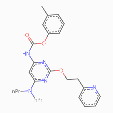 CCCN(CCC)c1cc(NC(=O)Oc2cccc(C)c2)nc(OCCc2ccccn2)n1